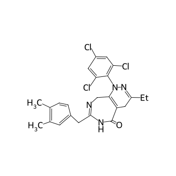 CCC1=NN(c2c(Cl)cc(Cl)cc2Cl)C2=C(C1)C(=O)NC(Cc1ccc(C)c(C)c1)=NC2